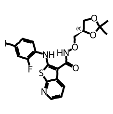 CC1(C)OC[C@H](CONC(=O)c2c(Nc3ccc(I)cc3F)sc3ncccc23)O1